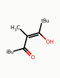 CCC(C)C(=O)/C(C)=C(\O)C(C)(C)C